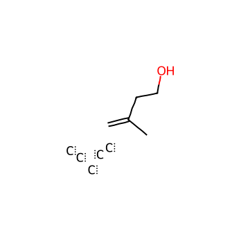 C=C(C)CCO.[C].[C].[C].[C].[C]